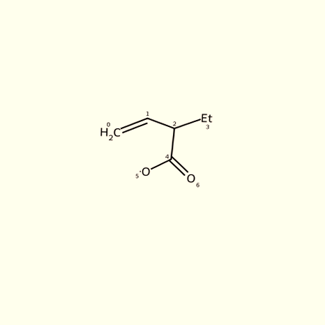 C=CC(CC)C([O])=O